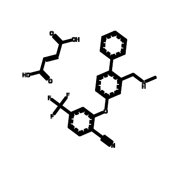 CNCc1cc(Oc2cc(C(F)(F)F)ccc2C#N)ccc1-c1ccccc1.O=C(O)/C=C/C(=O)O